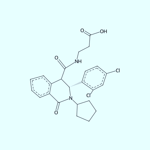 O=C(O)CCNC(=O)C1c2ccccc2C(=O)N(C2CCCC2)[C@H]1c1ccc(Cl)cc1Cl